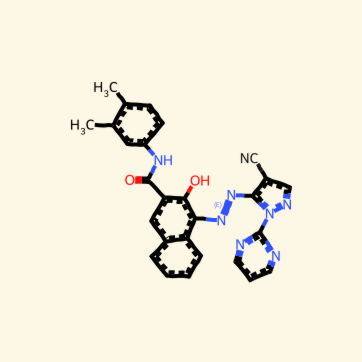 Cc1ccc(NC(=O)c2cc3ccccc3c(/N=N/c3c(C#N)cnn3-c3ncccn3)c2O)cc1C